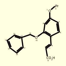 CC(C)Oc1ccc(/C=C/C(=O)O)c(OCc2ccccc2)c1